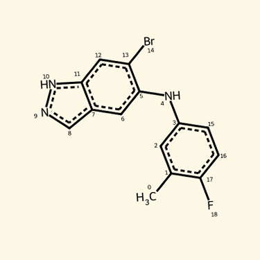 Cc1cc(Nc2cc3cn[nH]c3cc2Br)ccc1F